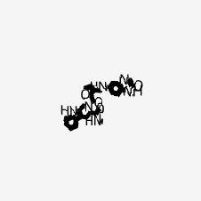 CNC(=O)C1Cc2c([nH]c3ccccc23)CN1C(=O)c1occc1CNc1ccc2[nH]c(=O)cnc2c1